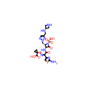 Nc1nc(/C(=N/OC2(C(=O)O)CC2)C(=O)N[C@@H]2C(=O)N(S(=O)(=O)O)[C@@H]2Cn2ncc(CNC3CNC3)n2)cs1